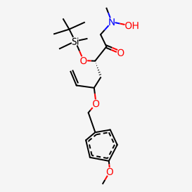 C=CC(C[C@H](O[Si](C)(C)C(C)(C)C)C(=O)CN(C)O)OCc1ccc(OC)cc1